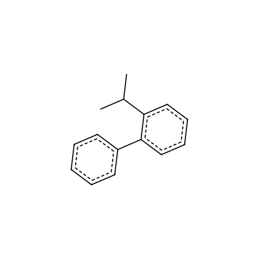 CC(C)c1ccccc1-c1ccccc1